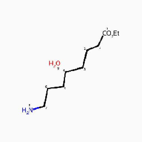 CCOC(=O)CCCCCCCN.O